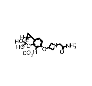 [NH3+]C(=O)CN1CC(Oc2ccc3c(c2C(=O)O)O[B-](O)(O)[C@@H]2CC32)C1